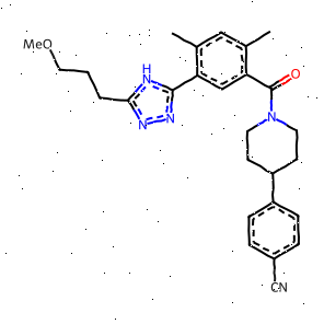 COCCCc1nnc(-c2cc(C(=O)N3CCC(c4ccc(C#N)cc4)CC3)c(C)cc2C)[nH]1